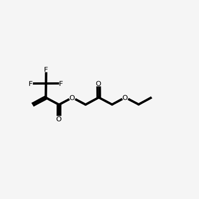 C=C(C(=O)OCC(=O)COCC)C(F)(F)F